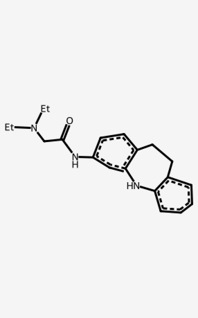 CCN(CC)CC(=O)Nc1ccc2c(c1)Nc1ccccc1CC2